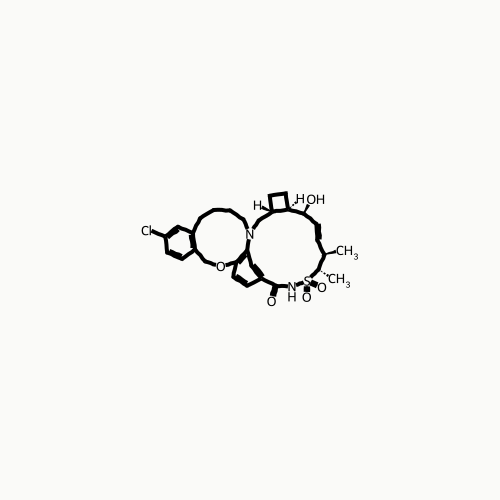 C[C@@H]1/C=C/[C@H](O)[C@@H]2CC[C@H]2CN2CCCCc3cc(Cl)ccc3COc3ccc(cc32)C(=O)NS(=O)(=O)[C@H]1C